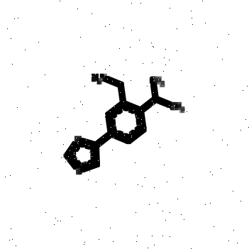 CC(C)c1ccc(-c2cs[c]n2)cc1CN